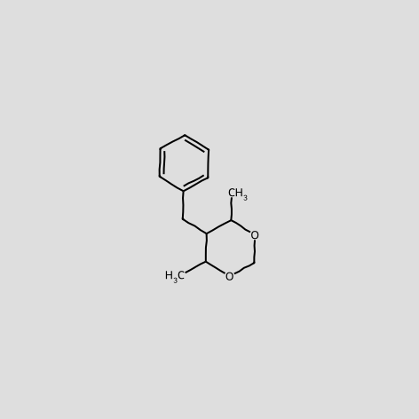 CC1OCOC(C)C1Cc1ccccc1